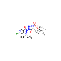 CC(C)Nc1cc(Cl)ncc1C(=O)NNC(=O)C(CO[Si](C)(C)C(C)(C)C)NC(=O)O